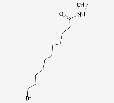 [CH2]NC(=O)CCCCCCCCCCBr